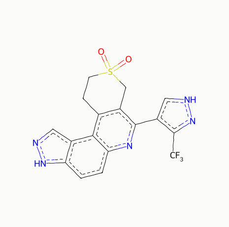 O=S1(=O)CCc2c(c(-c3c[nH]nc3C(F)(F)F)nc3ccc4[nH]ncc4c23)C1